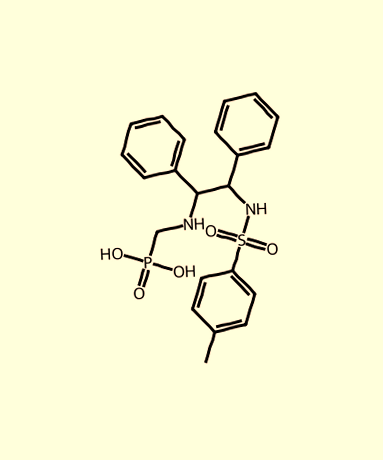 Cc1ccc(S(=O)(=O)NC(c2ccccc2)C(NCP(=O)(O)O)c2ccccc2)cc1